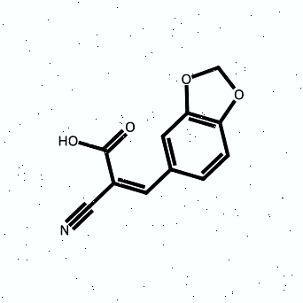 N#CC(=Cc1ccc2c(c1)OCO2)C(=O)O